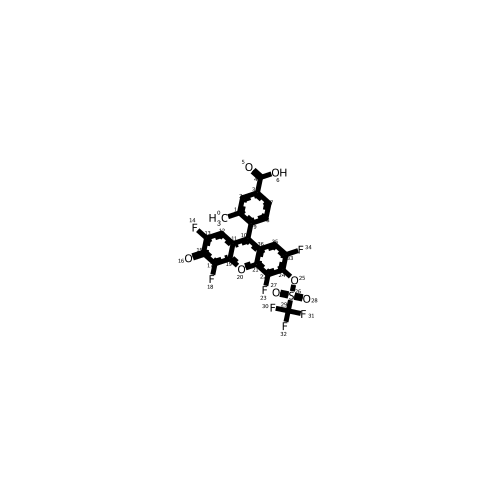 Cc1cc(C(=O)O)ccc1-c1c2cc(F)c(=O)c(F)c-2oc2c(F)c(OS(=O)(=O)C(F)(F)F)c(F)cc12